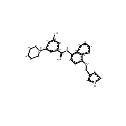 O=C(Nc1ccc(OCc2ccoc2)c2ccccc12)c1cc(F)cc(N2CCCCC2)c1